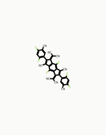 N#CC(C#N)=C1C(c2cc(C#N)c(F)cc2F)=C(C#N)c2c(F)c3c(c(F)c21)C(C#N)=C(c1cc(C#N)c(F)cc1F)C3=C(C#N)C#N